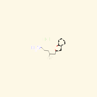 CCCC(CCCN)Cc1cc2ccccc2o1.Cl